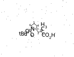 CC(CC1CCCN1C(=O)OC(C)(C)C)C(=O)O